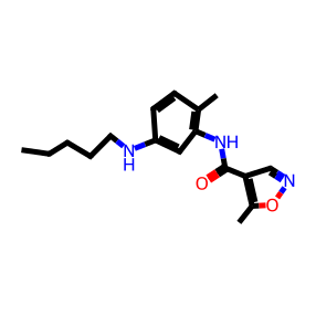 CCCCCNc1ccc(C)c(NC(=O)c2cnoc2C)c1